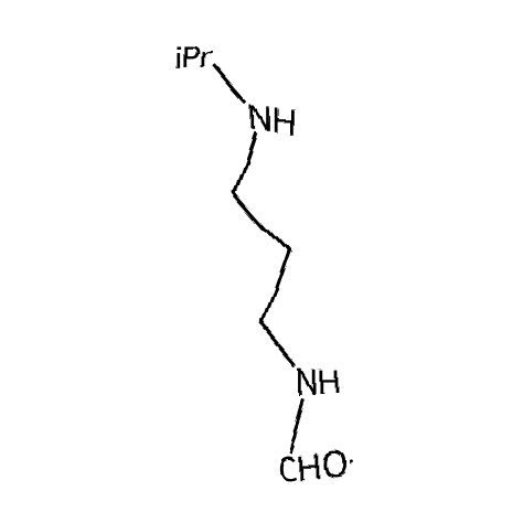 CC(C)NCCCN[C]=O